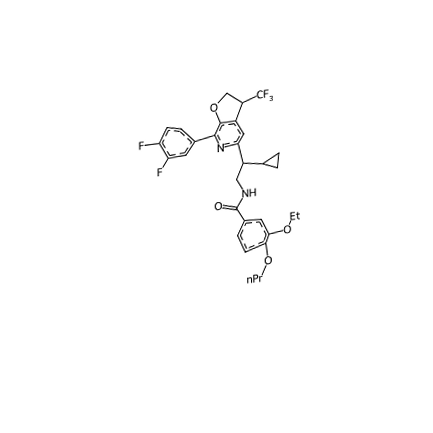 CCCOc1ccc(C(=O)NCC(c2cc3c(c(-c4ccc(F)c(F)c4)n2)OCC3C(F)(F)F)C2CC2)cc1OCC